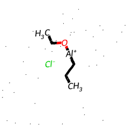 CC[CH2][Al+][O]CC.[Cl-]